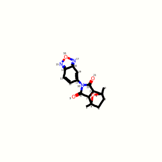 CC12CCC(C)(O1)C1C(=O)N(c3ccc4nonc4c3)C(=O)C12